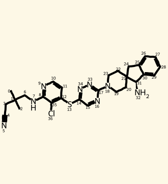 CC(C)(CC#N)CNc1nccc(Sc2cnc(N3CCC4(CC3)Cc3ccccc3[C@H]4N)nn2)c1Cl